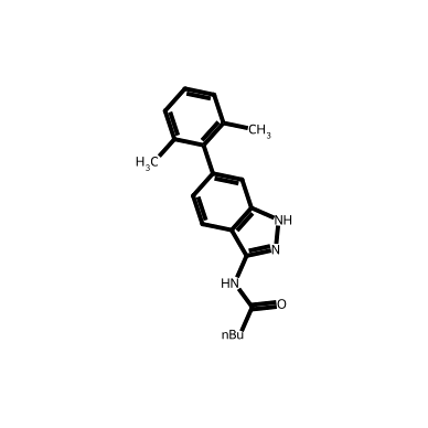 CCCCC(=O)Nc1n[nH]c2cc(-c3c(C)cccc3C)ccc12